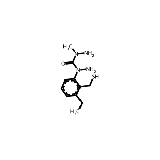 CCc1cccc(N(N)C(=O)N(C)N)c1CS